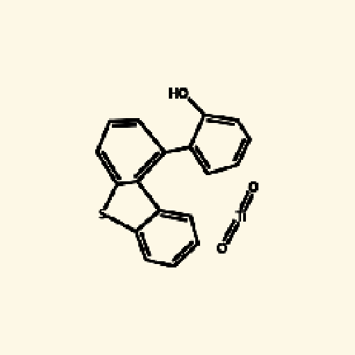 Oc1ccccc1-c1cccc2sc3ccccc3c12.[O]=[Ti]=[O]